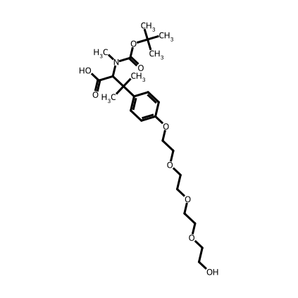 CN(C(=O)OC(C)(C)C)C(C(=O)O)C(C)(C)c1ccc(OCCOCCOCCOCCO)cc1